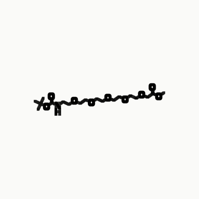 COC(=O)COCCOCCOCCOCCOCCNC(=O)OC(C)(C)C